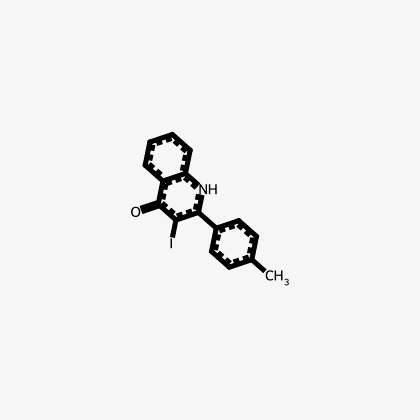 Cc1ccc(-c2[nH]c3ccccc3c(=O)c2I)cc1